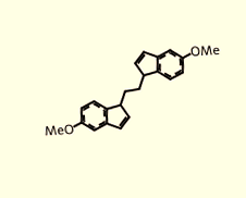 COc1ccc2c(c1)C=CC2CCC1C=Cc2cc(OC)ccc21